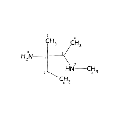 CCC(C)(N)C(C)NC